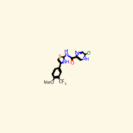 COc1ccc(C2=CSC(NC(=O)C3=CNC(Cl)C=N3)N2)cc1C(F)(F)F